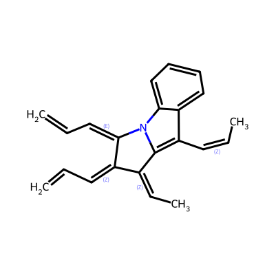 C=C/C=c1c(=C/C)/c2c(/C=C\C)c3ccccc3n2c/1=C/C=C